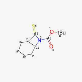 CC(C)(C)OC(=O)N1C(=S)C2CCCCC21